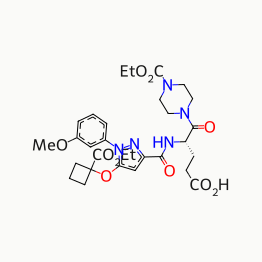 CCOC(=O)N1CCN(C(=O)[C@H](CCC(=O)O)NC(=O)c2cc(OC3(C(=O)OCC)CCC3)n(-c3cccc(OC)c3)n2)CC1